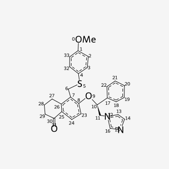 COc1ccc(SCc2c(O[C@H](Cn3ccnc3)c3ccccc3)ccc3c2CCCC3=O)cc1